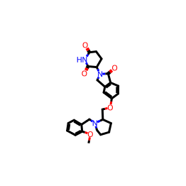 COc1ccccc1CN1CCCCC1COc1ccc2c(c1)CN(C1CCC(=O)NC1=O)C2=O